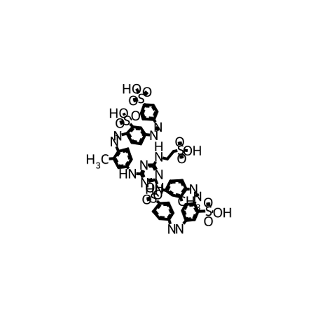 Cc1cc(Nc2nc(NCCS(=O)(=O)O)nc(Nc3ccc(/N=N\c4ccc(/N=N\c5ccc(S(=O)(=O)O)cc5)cc4S(=O)(=O)O)c(C)c3)n2)ccc1/N=N\c1ccc(/N=N\c2ccc(S(=O)(=O)O)cc2)cc1S(=O)(=O)O